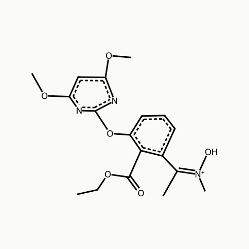 CCOC(=O)c1c(Oc2nc(OC)cc(OC)n2)cccc1C(C)=[N+](C)O